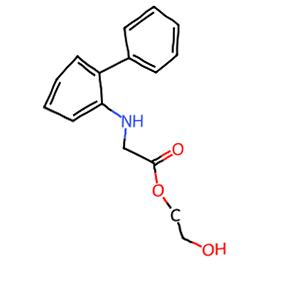 O=C(CNc1ccccc1-c1ccccc1)OCCO